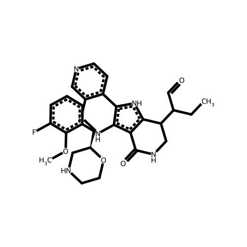 CCC(C=O)C1CNC(=O)c2c1[nH]c(-c1ccncc1OC[C@@H]1CNCCO1)c2Nc1cccc(F)c1OC